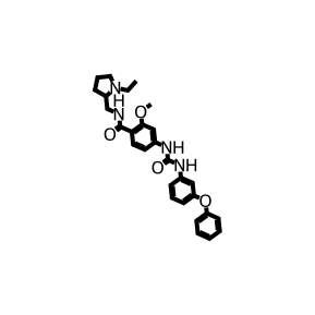 CCN1CCCC1CNC(=O)c1ccc(NC(=O)Nc2cccc(Oc3ccccc3)c2)cc1OC